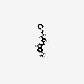 NC(=O)Nc1ccc2c(c1)C(=Cc1cc(C(=O)NCCN3CCCCC3)c[nH]1)CN2